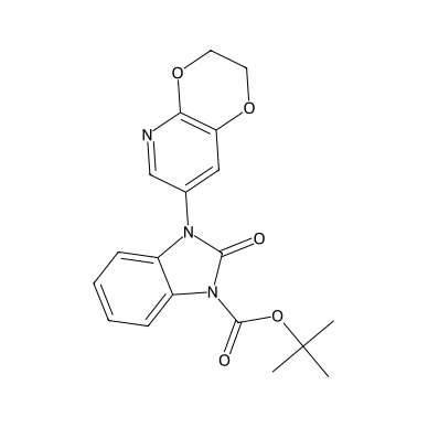 CC(C)(C)OC(=O)n1c(=O)n(-c2cnc3c(c2)OCCO3)c2ccccc21